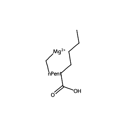 CCCCCC(=O)O.CCCCC[CH2][Mg+2]